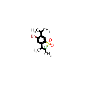 CCC(C)c1cc(Br)c(C(C)C)cc1S(=O)(=O)Cl